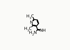 Cc1ccc(C(=N)N)c(C)n1